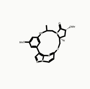 COc1cc2cc(c1)-c1cnn3ccc(nc13)OC[C@@H]1C[C@@H](OC)C(=O)N1CC(C)N2